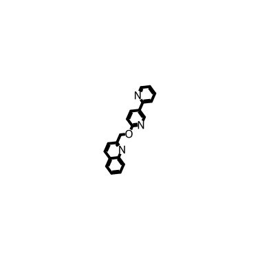 c1ccc(-c2ccc(OCc3ccc4ccccc4n3)nc2)nc1